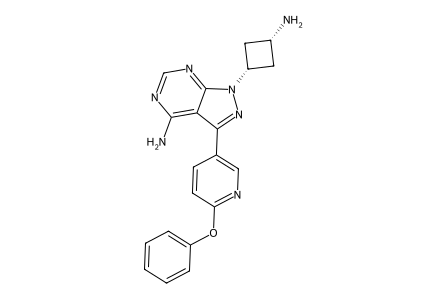 Nc1ncnc2c1c(-c1ccc(Oc3ccccc3)nc1)nn2[C@H]1C[C@@H](N)C1